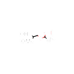 CCCC(O)OCC([C]=O)OC